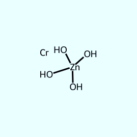 [Cr].[OH][Zn]([OH])([OH])[OH]